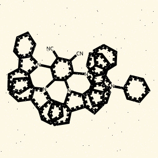 N#Cc1c(C#N)c(-n2c3ccccc3c3ccccc32)c(-n2c3ccccc3c3ccc4c(c5ccccc5n4-c4ccccc4)c32)c(-n2c3ccccc3c3ccccc32)c1-n1c2ccccc2c2ccccc21